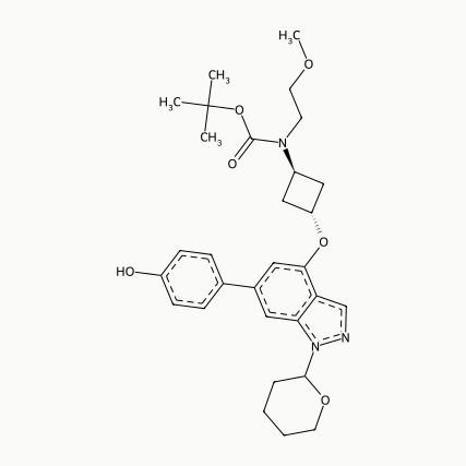 COCCN(C(=O)OC(C)(C)C)[C@H]1C[C@H](Oc2cc(-c3ccc(O)cc3)cc3c2cnn3C2CCCCO2)C1